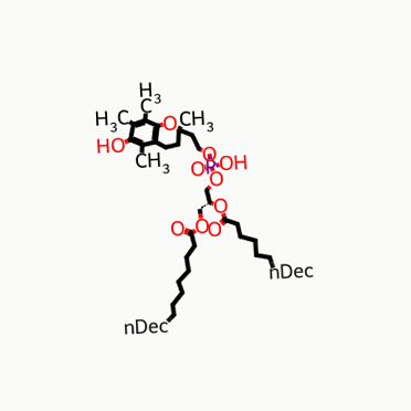 CCCCCCCCCCCCCCCCCC(=O)OC[C@H](COP(=O)(O)OCCC1(C)CCc2c(C)c(O)c(C)c(C)c2O1)OC(=O)CCCCCCCCCCCCCCC